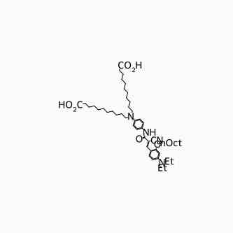 CCCCCCCCOc1cc(N(CC)CC)ccc1/C=C(\C#N)C(=O)Nc1ccc(N(CCCCCCCCCCC(=O)O)CCCCCCCCCCC(=O)O)cc1